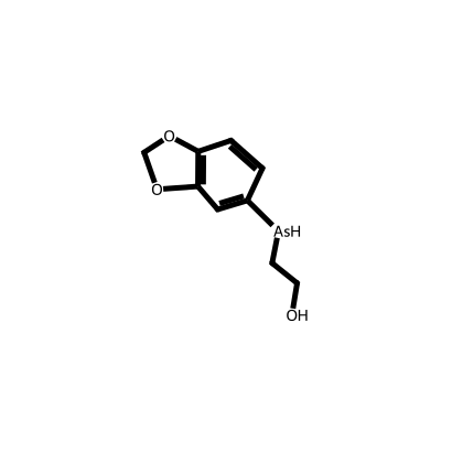 OCC[AsH]c1ccc2c(c1)OCO2